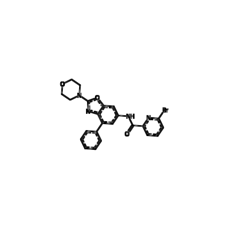 O=C(Nc1cc(-c2ccccc2)c2nc(N3CCOCC3)oc2c1)c1cccc(Br)n1